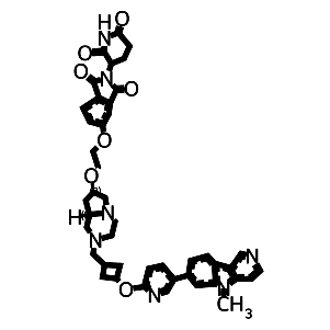 Cn1c2ccncc2c2ccc(-c3ccc(OC4CC(CN5CCN6C[C@H](OCCOc7ccc8c(c7)C(=O)N(C7CCC(=O)NC7=O)C8=O)C[C@H]6C5)C4)nc3)cc21